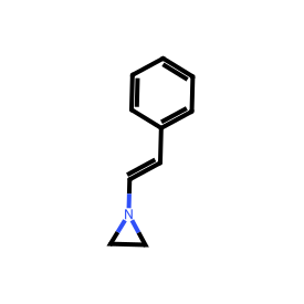 C(=CN1CC1)c1ccccc1